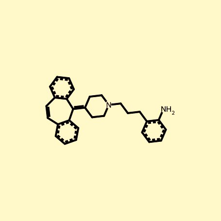 Nc1ccccc1CCCN1CCC(=C2c3ccccc3C=Cc3ccccc32)CC1